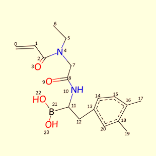 C=CC(=O)N(CC)CC(=O)NC(Cc1ccc(C)c(C)c1)B(O)O